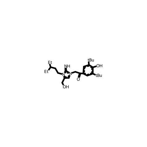 CCC(CC)CCn1c(CO)cn(CC(=O)c2cc(C(C)(C)C)c(O)c(C(C)(C)C)c2)c1=N